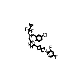 Fc1cnc(N2CC3(CC(c4nnc5n4-c4ccc(Cl)cc4CN(CC(F)(F)C4CC4)C5)C3)C2)c(F)c1